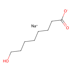 O=C([O-])CCCCCCCO.[Na+]